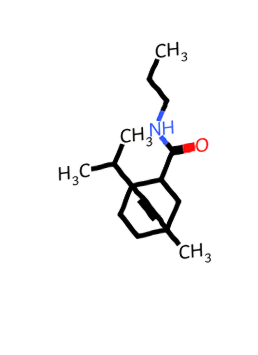 CCCNC(=O)C1CC2(C)C=CC1(C(C)C)CC2